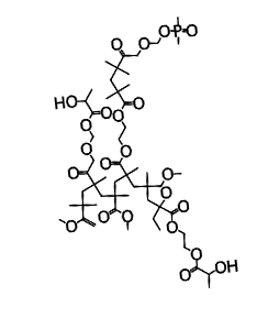 C=C(OC)C(C)(C)CC(C)(CC(C)(CC(C)(CC(C)(CC(C)(CC)C(=O)OCCOC(=O)C(C)O)C(=O)OC)C(=O)OCCOC(=O)C(C)(C)CC(C)(C)C(=O)COCOP(C)(C)=O)C(=O)OC)C(=O)COCOC(=O)C(C)O